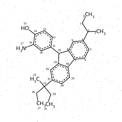 CCC(C)c1ccc2c(c1)C(c1ccc(O)c(N)c1)c1cc(C(C)(CC)CC)ccc1-2